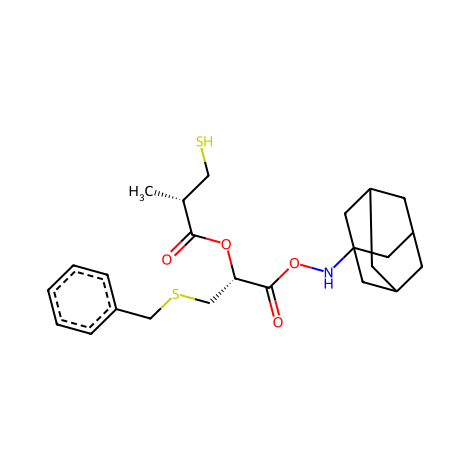 C[C@H](CS)C(=O)O[C@@H](CSCc1ccccc1)C(=O)ONC12CC3CC(CC(C3)C1)C2